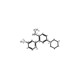 CNc1ccc(N2CCCCC2)cc1-c1cc(C)ccn1